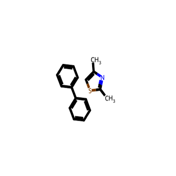 Cc1csc(C)n1.c1ccc(-c2ccccc2)cc1